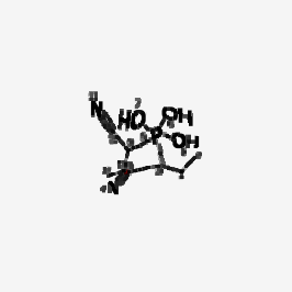 CCC(C#N)P(O)(O)(O)C(C#N)CC